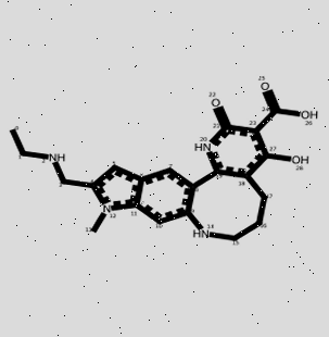 CCNCc1cc2cc3c(cc2n1C)NCCCc1c-3[nH]c(=O)c(C(=O)O)c1O